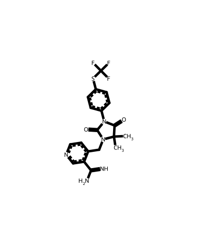 CC1(C)C(=O)N(c2ccc(SC(F)(F)F)cc2)C(=O)N1Cc1ccncc1C(=N)N